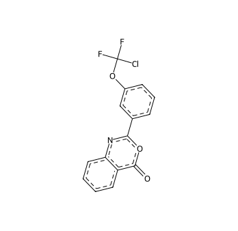 O=c1oc(-c2cccc(OC(F)(F)Cl)c2)nc2ccccc12